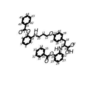 O=C(Oc1ccccc1NCCCOc1ccc(CC(Nc2ccccc2OC(=O)c2ccccc2)C(=O)O)cc1)c1ccccc1